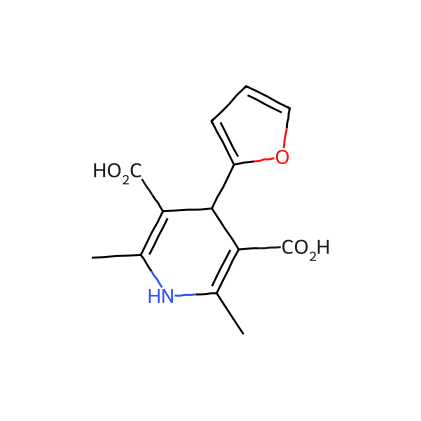 CC1=C(C(=O)O)C(c2ccco2)C(C(=O)O)=C(C)N1